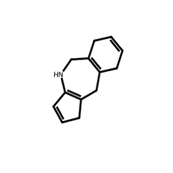 C1=CCC2=C(C1)CNC1=C(CC=C1)C2